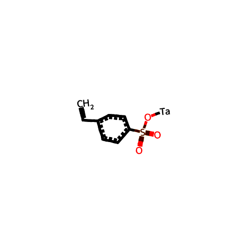 C=Cc1ccc(S(=O)(=O)[O][Ta])cc1